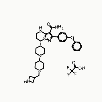 NC(=O)c1c(-c2ccc(Oc3ccccc3)cc2)nn2c1NCC[C@H]2C1CCN(C2CCN(CC3CNC3)CC2)CC1.O=C(O)C(F)(F)F